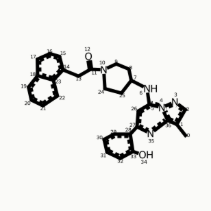 Cc1cnn2c(NC3CCN(C(=O)Cc4cccc5ccccc45)CC3)cc(-c3ccccc3O)nc12